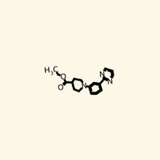 CCOC(=O)C1CCN(c2cccc(-c3ncccn3)c2)CC1